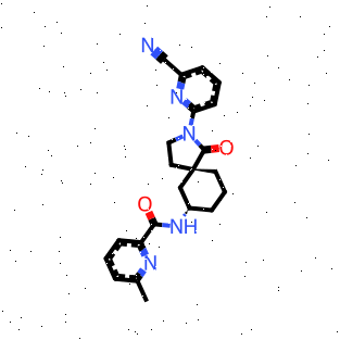 Cc1cccc(C(=O)N[C@H]2CCC[C@]3(CCN(c4cccc(C#N)n4)C3=O)C2)n1